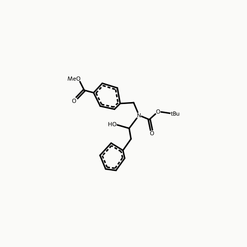 COC(=O)c1ccc(CN(C(=O)OC(C)(C)C)C(O)Cc2ccccc2)cc1